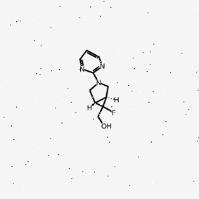 OCC1(F)[C@@H]2CN(c3ncccn3)C[C@H]21